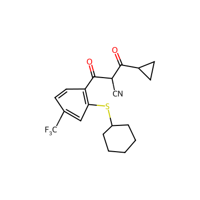 N#CC(C(=O)c1ccc(C(F)(F)F)cc1SC1CCCCC1)C(=O)C1CC1